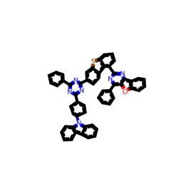 c1ccc(-c2nc(-c3ccc(-n4c5ccccc5c5ccccc54)cc3)nc(-c3ccc4c(c3)sc3cccc(-c5nc(-c6ccccc6)c6oc7ccccc7c6n5)c34)n2)cc1